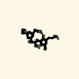 CCCc1cc(=O)nc(/N=C(\N)Nc2cc(OC)cc(OC)c2)[nH]1